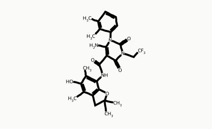 Cc1cccc(-n2c(N)c(C(=O)Nc3c(C)c(O)c(C)c4c3OC(C)(C)C4)c(=O)n(CC(F)(F)F)c2=O)c1C